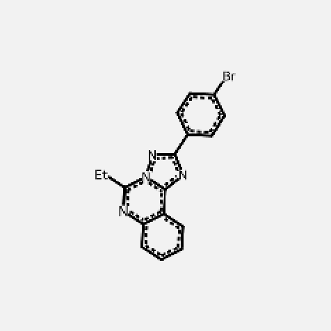 CCc1nc2ccccc2c2nc(-c3ccc(Br)cc3)nn12